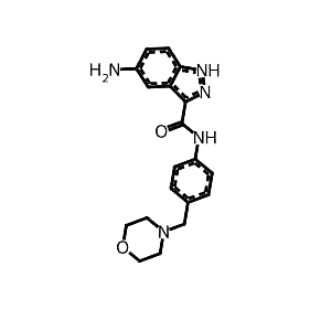 Nc1ccc2[nH]nc(C(=O)Nc3ccc(CN4CCOCC4)cc3)c2c1